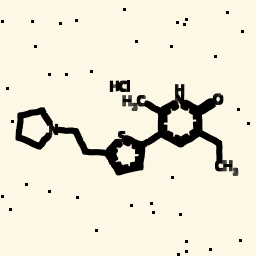 CCc1cc(-c2ccc(CCN3CCCC3)s2)c(C)[nH]c1=O.Cl